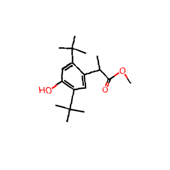 COC(=O)C(C)c1cc(C(C)(C)C)c(O)cc1C(C)(C)C